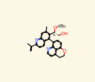 C=C(C)c1ccc2c(-c3ccc4c5c(ccnc35)CCO4)c([C@@H](CO)OC(C)(C)C)c(C)cc2n1